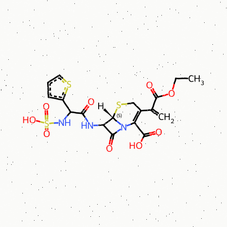 C=C(C(=O)OCC)C1=C(C(=O)O)N2C(=O)C(NC(=O)C(NS(=O)(=O)O)c3cccs3)[C@@H]2SC1